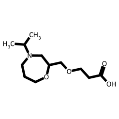 CC(C)N1CCCOC(COCCC(=O)O)C1